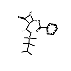 CC(C)C(C)(C)[Si](C)(C)O[C@H](C)[C@H]1C(=O)N[C@@H]1OC(=O)c1ccccc1